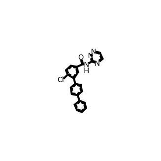 O=C(Nc1nccnn1)c1ccc(Cl)c(-c2ccc(-c3ccccc3)cc2)c1